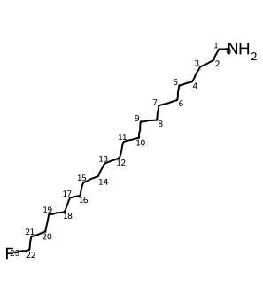 NCCCCCCCCCCCCCCCCCCCCCCF